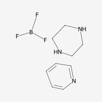 C1CNCCN1.FB(F)F.c1ccncc1